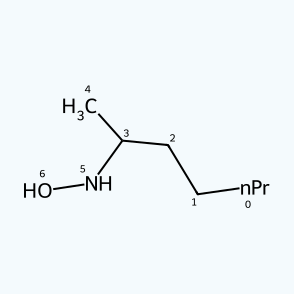 CCCCCC(C)NO